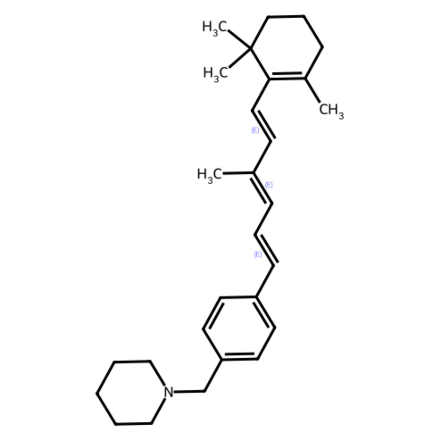 CC1=C(/C=C/C(C)=C/C=C/c2ccc(CN3CCCCC3)cc2)C(C)(C)CCC1